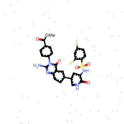 COC(=O)c1ccc(-n2c(N)nc3ccc(-c4c[nH]c(=O)c(NS(=O)(=O)c5ccc(F)cc5F)c4)cc3c2=O)cc1